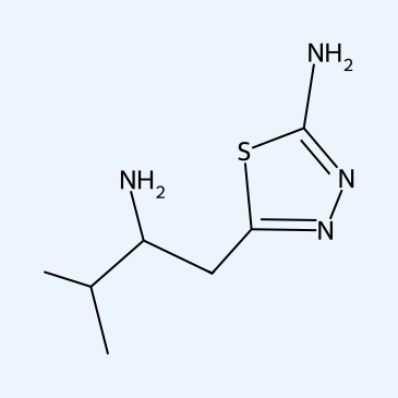 CC(C)C(N)Cc1nnc(N)s1